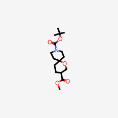 COC(=O)C1CCC2(CCN(C(=O)OC(C)(C)C)CC2)OC1